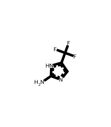 Nc1ncc(C(F)(F)F)[nH]1